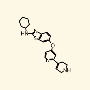 C1=C(c2cc(Oc3ccc4nc(NC5CCCCC5)sc4c3)ccn2)CCNC1